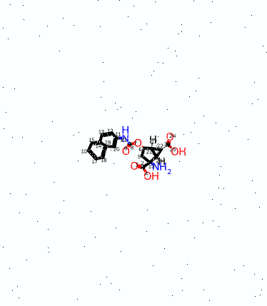 N[C@@]1(C(=O)O)C[C@H](OC(=O)Nc2ccc3ccccc3c2)[C@H]2[C@H](C(=O)O)[C@H]21